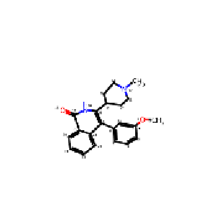 COc1cccc(-c2c(C3CCN(C)CC3)[nH]c(=O)c3ccccc23)c1